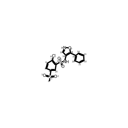 CS(=O)(=O)c1ccc(Cl)c(S(=O)(=O)Nc2cnoc2-c2ccccc2)c1